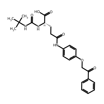 CC(C)(C)NC(=O)N[C@@H](CCC(=O)Nc1ccc(OCC(=O)c2ccccc2)cc1)C(=O)O